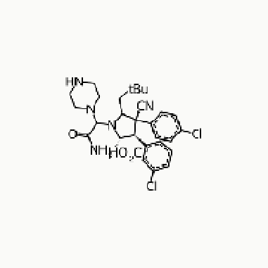 CC(C)(C)C[C@@H]1N(C(C(N)=O)N2CCNCC2)[C@@H](C(=O)O)[C@H](c2cccc(Cl)c2)[C@@]1(C#N)c1ccc(Cl)cc1